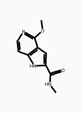 CNC(=O)c1cc2c(OC)nccc2[nH]1